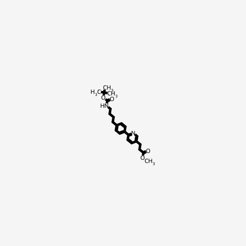 COC(=O)CCc1ccc(-c2ccc(CCCCNC(=O)OC(C)(C)C)cc2)nc1